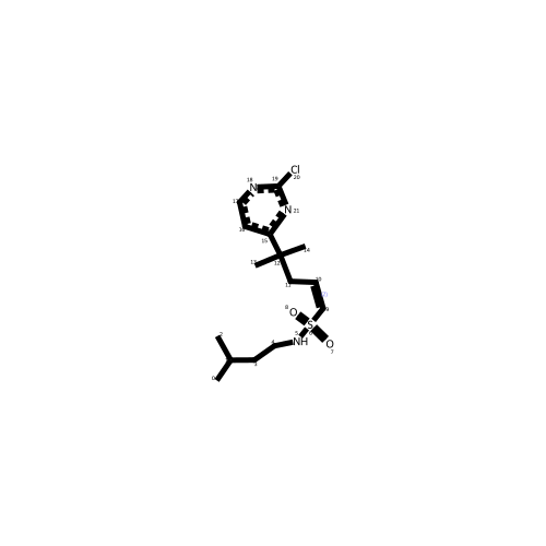 CC(C)CCNS(=O)(=O)/C=C\CC(C)(C)c1ccnc(Cl)n1